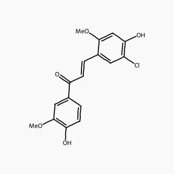 COc1cc(C(=O)/C=C/c2cc(Cl)c(O)cc2OC)ccc1O